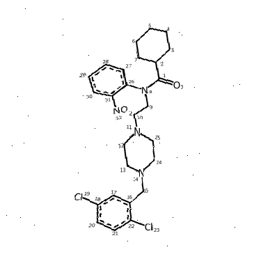 O=C(C1CCCCC1)N(CCN1CCN(Cc2cc(Cl)ccc2Cl)CC1)c1ccccc1[N+](=O)[O-]